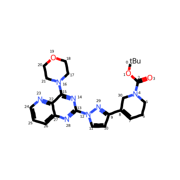 CC(C)(C)OC(=O)N1CCC=C(c2ccn(-c3nc(N4CCOCC4)c4ncccc4n3)n2)C1